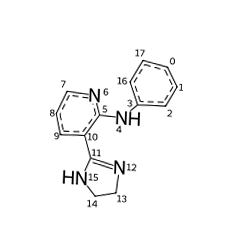 c1ccc(Nc2ncccc2C2=NCCN2)cc1